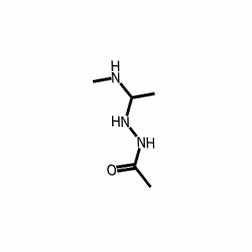 CNC(C)NNC(C)=O